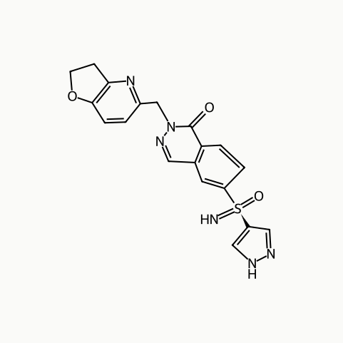 N=[S@](=O)(c1cn[nH]c1)c1ccc2c(=O)n(Cc3ccc4c(n3)CCO4)ncc2c1